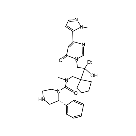 CCC(O)(Cn1cnc(-c2ccnn2C)cc1=O)C1(CN(C)C(=O)N2CCNC[C@H]2c2ccccc2)CCCC1